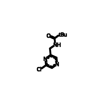 CC(C)(C)C(=O)NCc1cncc(Cl)n1